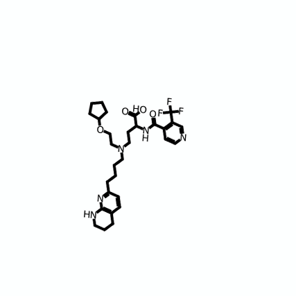 O=C(NC(CCN(CCCCc1ccc2c(n1)NCCC2)CCOC1CCCC1)C(=O)O)c1ccncc1C(F)(F)F